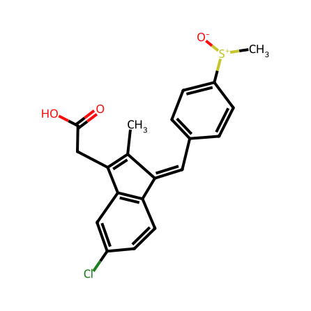 CC1=C(CC(=O)O)c2cc(Cl)ccc2C1=Cc1ccc([S+](C)[O-])cc1